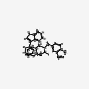 COc1cc(OC(C(C)O)N(c2ncnc3scc(-c4ccccc4)c23)C2CCNCC2)ccc1Cl